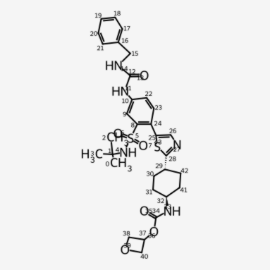 CC(C)(C)NS(=O)(=O)c1cc(NC(=O)NCc2ccccc2)ccc1-c1cnc([C@H]2CC[C@H](NC(=O)OC3COC3)CC2)s1